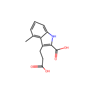 Cc1cccc2[nH]c(C(=O)O)c(CCC(=O)O)c12